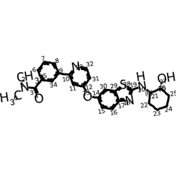 CN(C)C(=O)c1cccc(-c2cc(Oc3ccc4nc(N[C@@H]5CCCC[C@H]5O)sc4c3)ccn2)c1